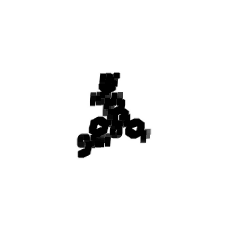 C=CC(=O)Nc1cccc(N2C(=O)N(c3ccc(F)cc3)Cc3cnc(Nc4cnn(C)c4)nc32)c1